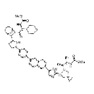 COC(=O)N[C@H](C(=O)N1CC2(CC2)C[C@H]1c1ncc(-c2ccc3cc(-c4ccc(C5CN=C(C6C7CCC(C7)N6C(=O)[C@@H](NC(=O)OC)C6CCOCC6)N5)cc4)ccc3c2)[nH]1)C(C)C